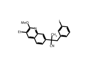 CCc1cc2ccc(C(C)(C#N)Cc3cccc(I)c3)cc2nc1OC